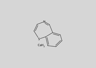 C1=CSc2ccccc2C=N1.[CaH2]